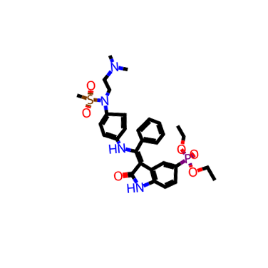 CCOP(=O)(OCC)c1ccc2c(c1)/C(=C(/Nc1ccc(N(CCN(C)C)S(C)(=O)=O)cc1)c1ccccc1)C(=O)N2